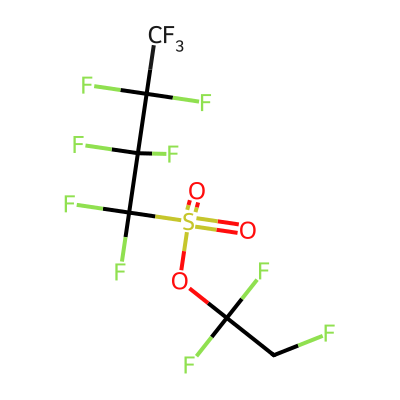 O=S(=O)(OC(F)(F)CF)C(F)(F)C(F)(F)C(F)(F)C(F)(F)F